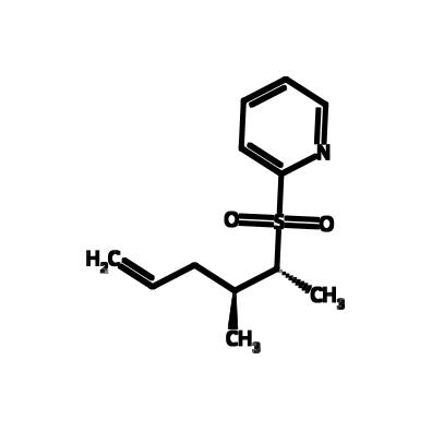 C=CC[C@H](C)[C@@H](C)S(=O)(=O)c1ccccn1